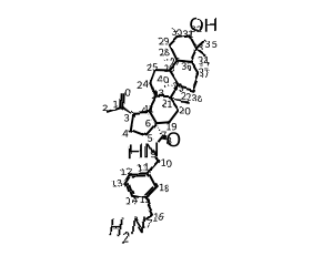 C=C(C)[C@@H]1CC[C@]2(C(=O)NCc3cccc(CN)c3)CC[C@]3(C)C(CCC4[C@@]5(C)CC[C@H](O)C(C)(C)C5CC[C@]43C)C12